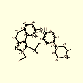 CCn1nc2c(c1C(C)C)-c1nc(Nc3ccc(N4CCNCC4)cn3)ccc1CC2